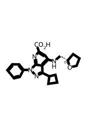 O=C(O)c1cc(NC[C@@H]2CCCO2)c2c(C3CCC3)nn(-c3ccccc3)c2n1